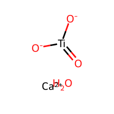 O.[Ca+2].[O]=[Ti]([O-])[O-]